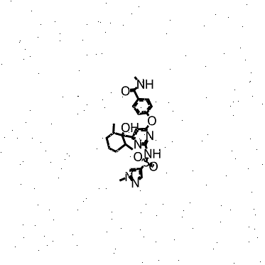 CNC(=O)c1ccc(Oc2cc(C3(O)C(C)CCCC3C)nc(NS(=O)(=O)c3cnn(C)c3)n2)cc1